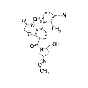 CO/N=C1/CC(CO)N(C(=O)c2ccc(-c3cccc(C#N)c3C)c3c2OCC(=O)N3C)C1